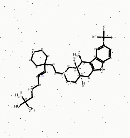 C[C@H]1c2c([nH]c3ccc(C(F)(F)F)cc23)C[C@H]2CCN(CCC3(/C=C/CNCC(C)(C)O)CCOCC3)C[C@@H]21